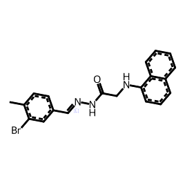 Cc1ccc(/C=N/NC(=O)CNc2cccc3ccccc23)cc1Br